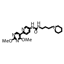 COc1ncc(-c2ccc(NC(=O)NCCCCN3CCCCC3)cn2)c(OC)n1